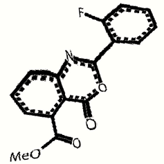 COC(=O)c1cccc2nc(-c3ccccc3F)oc(=O)c12